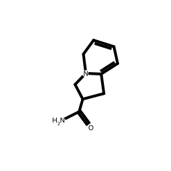 NC(=O)C1CC2=CC=CCN2C1